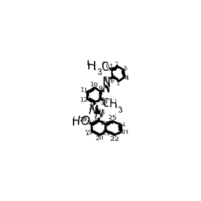 Cc1ccccc1/N=N/c1cccc(/N=N/c2c(O)ccc3ccccc23)c1C